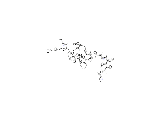 C=C/C=C(\C)C(C[C@@H]1CC[C@@H](C)[C@](O)(C(=O)C(=O)N2CCCC[C@H]2C(=O)O[C@@H](CC(=O)[C@H](C)/C=C(\C)[C@@H](O)[C@@H](OC)C(=O)[C@H](C)C[C@H](C)/C=C/C)[C@H](C)C[C@@H]2CC[C@@H](O)[C@H](OC)C2)O1)OCCOCCOC